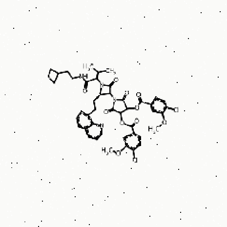 COc1cc(C(=O)OC2C(=O)N(C3C(=O)N(C(C(=O)NCCC4CCC4)C(C)C)C3CCc3cccc4cccnc34)C(=O)C2OC(=O)c2ccc(Cl)c(OC)c2)ccc1Cl